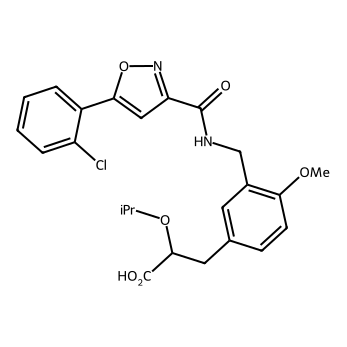 COc1ccc(CC(OC(C)C)C(=O)O)cc1CNC(=O)c1cc(-c2ccccc2Cl)on1